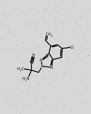 C=Cc1cc(Cl)cc2nn(CC(C)(N)C#N)nc12